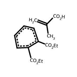 C=C(C)C(=O)O.CCOC(=O)c1ccccc1C(=O)OCC